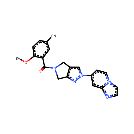 CC(C)Oc1ccc(C#N)cc1C(=O)N1Cc2cn(-c3ccn4ccnc4c3)nc2C1